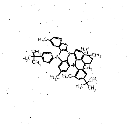 Cc1cc2c3c(c1)N(c1ccc(C(C)(C)C)cc1)c1c(sc4ccc(C)cc14)B3c1ccc3c4c1N2c1c(C)cc(C(C)(C)C)cc1C4(C)CCC3(C)C